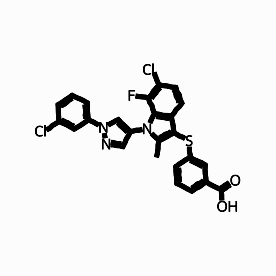 Cc1c(Sc2cccc(C(=O)O)c2)c2ccc(Cl)c(F)c2n1-c1cnn(-c2cccc(Cl)c2)c1